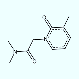 Cc1cccn(CC(=O)N(C)C)c1=O